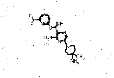 CC1(N)CCN(c2cnc(C(=N)Oc3cccc(C(F)F)n3)c(N)n2)CC1